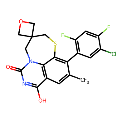 O=c1nc(O)c2cc(C(F)(F)F)c(-c3cc(Cl)c(F)cc3F)c3c2n1CC1(COC1)CS3